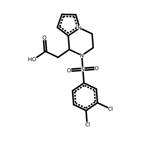 O=C(O)CC1c2cccn2CCN1S(=O)(=O)c1ccc(Cl)c(Cl)c1